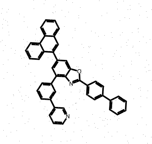 c1ccc(-c2ccc(-c3nc4c(-c5cccc(-c6cccnc6)c5)cc(-c5cc6ccccc6c6ccccc56)cc4o3)cc2)cc1